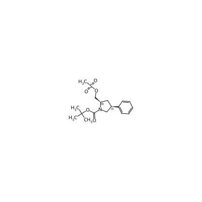 CC(C)(C)OC(=O)N1C[C@H](c2ccccc2)C[C@@H]1COS(C)(=O)=O